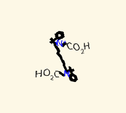 CC1(C)C(/C=C/C=C/C=C/CC2N(CCC(=O)O)c3ccccc3C2(C)C)=[N+](CCC(=O)O)c2ccccc21